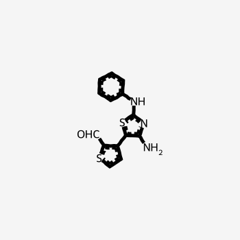 Nc1nc(Nc2ccccc2)sc1-c1ccsc1C=O